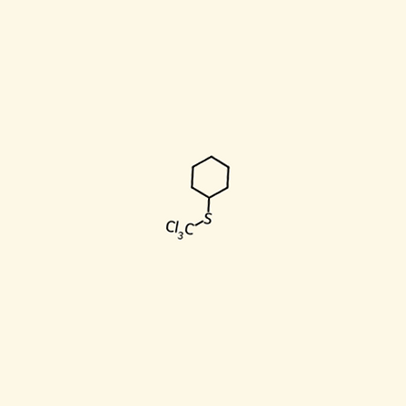 ClC(Cl)(Cl)SC1CCCCC1